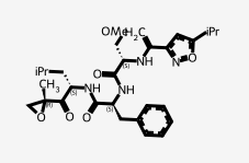 C=C(N[C@@H](COC)C(=O)N[C@@H](Cc1ccccc1)C(=O)N[C@@H](CC(C)C)C(=O)[C@@]1(C)CO1)c1cc(C(C)C)on1